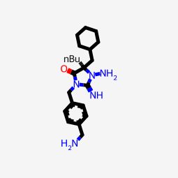 CCCCC1(CC2CCCCC2)C(=O)N(Cc2ccc(CN)cc2)C(=N)N1N